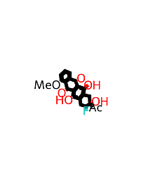 COc1cccc2c1C(=O)c1c(O)c3c(c(O)c1C2=O)CC(O)(C(C)=O)C(F)C3